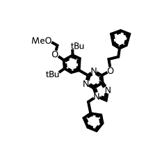 COCOc1c(C(C)(C)C)cc(-c2nc(OCCc3ccccc3)c3ncn(Cc4ccccc4)c3n2)cc1C(C)(C)C